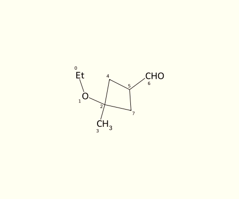 CCOC1(C)CC(C=O)C1